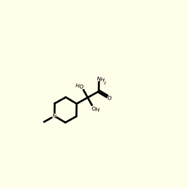 CN1CCC(C(O)(O)C(N)=O)CC1